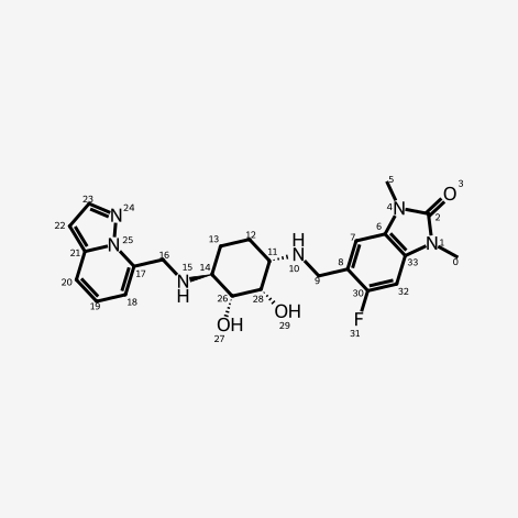 Cn1c(=O)n(C)c2cc(CN[C@H]3CC[C@H](NCc4cccc5ccnn45)[C@@H](O)[C@H]3O)c(F)cc21